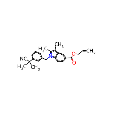 C=CCOC(=O)c1ccc2c(c1)c(C)c(C)n2Cc1cccc(C(C)(C)C#N)c1